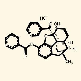 CN1CC[C@]23c4c5ccc(OC(=O)c6cccnc6)c4O[C@@]2(C(=O)c2cccnc2)[C@@H](O)C=C[C@H]3[C@H]1C5.Cl